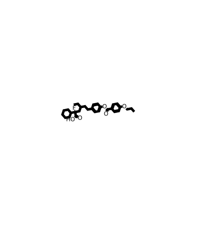 CCCOc1ccc(C(=O)Oc2ccc(CCC(CC)C[C@@](F)(C(=O)O)C3CCCCC3)cc2)cc1